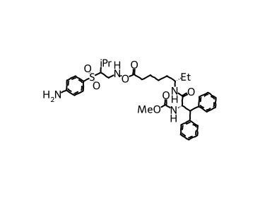 CC[C@@H](CCCCC(=O)ONCC(C(C)C)S(=O)(=O)c1ccc(N)cc1)NC(=O)[C@@H](NC(=O)OC)C(c1ccccc1)c1ccccc1